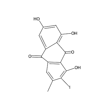 Cc1cc2c(c(O)c1I)C(=O)c1c(O)cc(O)cc1C2=O